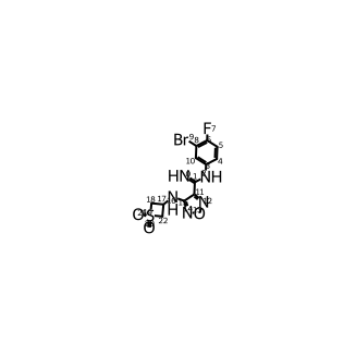 N=C(Nc1ccc(F)c(Br)c1)c1nonc1NC1CS(=O)(=O)C1